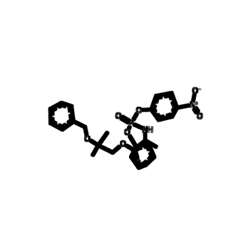 CC(NP(=O)(Oc1ccccc1)Oc1ccc([N+](=O)[O-])cc1)C(=O)OCC(C)(C)OCc1ccccc1